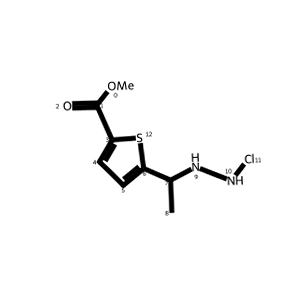 COC(=O)c1ccc(C(C)NNCl)s1